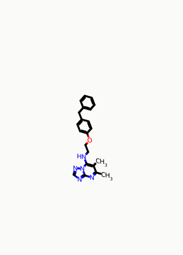 Cc1nc2ncnn2c(NCCOc2ccc(Cc3ccccc3)cc2)c1C